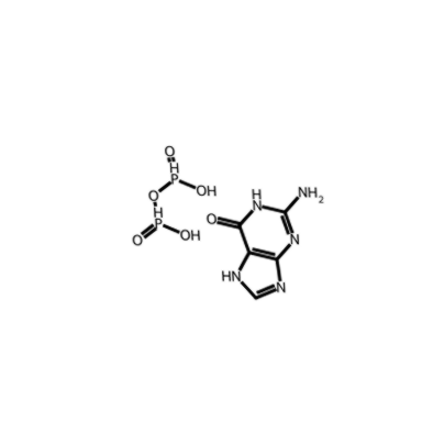 Nc1nc2nc[nH]c2c(=O)[nH]1.O=[PH](O)O[PH](=O)O